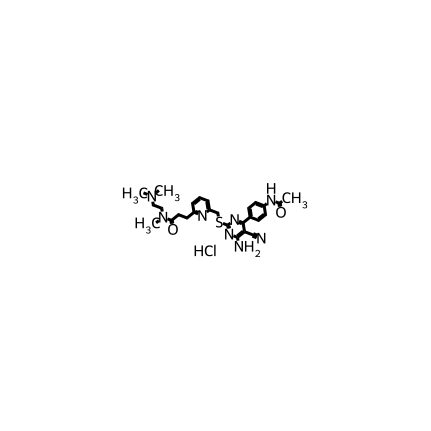 CC(=O)Nc1ccc(-c2nc(SCc3cccc(CCC(=O)N(C)CCN(C)C)n3)nc(N)c2C#N)cc1.Cl